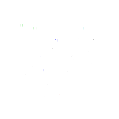 Cl.Cl.O=C1COc2ccc(CNC[C@H]3CN(CCn4c(=O)ccc5ccc(F)cc54)CC[C@H]3O)nc2N1